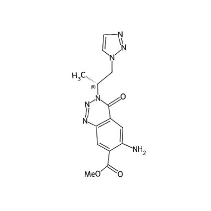 COC(=O)c1cc2nnn([C@H](C)Cn3ccnn3)c(=O)c2cc1N